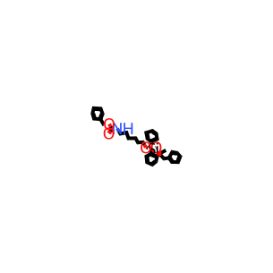 CC(C)(Cc1ccccc1)O[Si](OCCCCCCNC(=O)OCc1ccccc1)(c1ccccc1)c1ccccc1